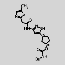 CC[C@H](C)NC(=O)O[C@@H]1CC[C@H](c2cc(NC(=O)Cc3ncc(C)s3)n[nH]2)C1